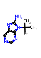 CCC(C)(C)n1c(N)nc2cncnc21